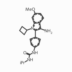 COc1ccc2c(N)c(-c3ccc(NC(=O)NC(C)C)cc3)n(C3CCC3)c2c1